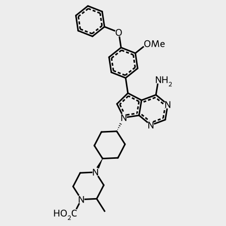 COc1cc(-c2cn([C@H]3CC[C@H](N4CCN(C(=O)O)C(C)C4)CC3)c3ncnc(N)c23)ccc1Oc1ccccc1